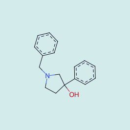 OC1(c2ccccc2)CCN(Cc2ccccc2)C1